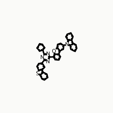 c1ccc(-c2nc(-c3ccc4sc5ccccc5c4c3)nc(-c3cccc4c3oc3ccc(-n5c6ccccc6c6ccccc65)cc34)n2)cc1